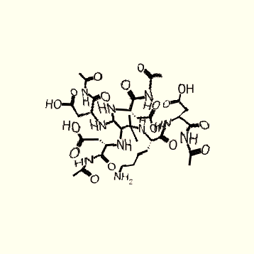 CC(=O)NC(=O)[C@H](CC(=O)O)NC(=O)[C@H](CCCCN)NC(C)(C)C(N[C@@H](CC(=O)O)C(=O)NC(C)=O)C(N[C@@H](CC(=O)O)C(=O)NC(C)=O)N[C@@H](CC(=O)O)C(=O)NC(C)=O